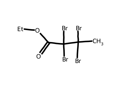 CCOC(=O)C(Br)(Br)C(C)(Br)Br